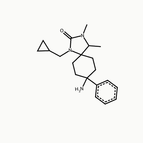 CC1N(C)C(=O)N(CC2CC2)C12CCC(N)(c1ccccc1)CC2